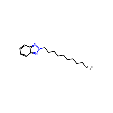 O=S(=O)(O)CCCCCCCCCn1nc2ccccc2n1